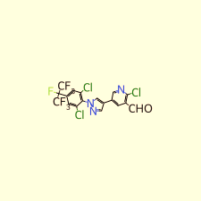 O=Cc1cc(-c2cnn(-c3c(Cl)cc(C(F)(C(F)(F)F)C(F)(F)F)cc3Cl)c2)cnc1Cl